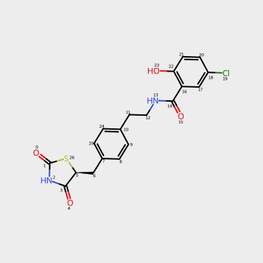 O=C1NC(=O)[C@H](Cc2ccc(CCNC(=O)c3cc(Cl)ccc3O)cc2)S1